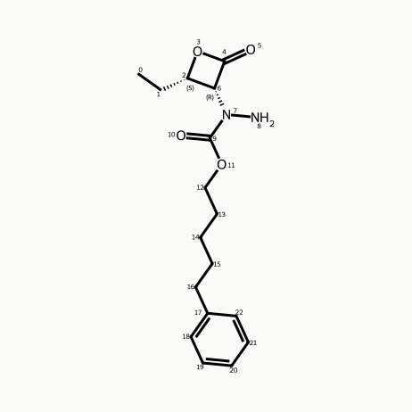 CC[C@@H]1OC(=O)[C@@H]1N(N)C(=O)OCCCCCc1ccccc1